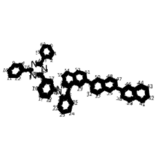 c1ccc(-c2nc(-c3ccccc3)nc(-c3cccc(-n4c5ccccc5c5c6cc(-c7ccc8cc(-c9ccc%10ccccc%10c9)ccc8c7)ccc6ccc54)c3)n2)cc1